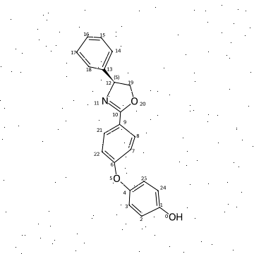 Oc1ccc(Oc2ccc(C3=N[C@@H](c4ccccc4)CO3)cc2)cc1